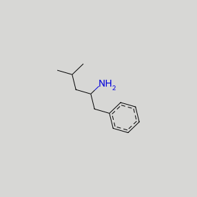 CC(C)CC(N)Cc1ccccc1